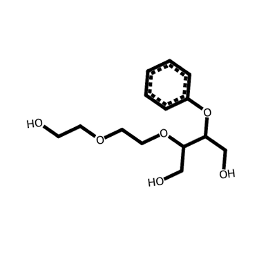 OCCOCCOC(CO)C(CO)Oc1ccccc1